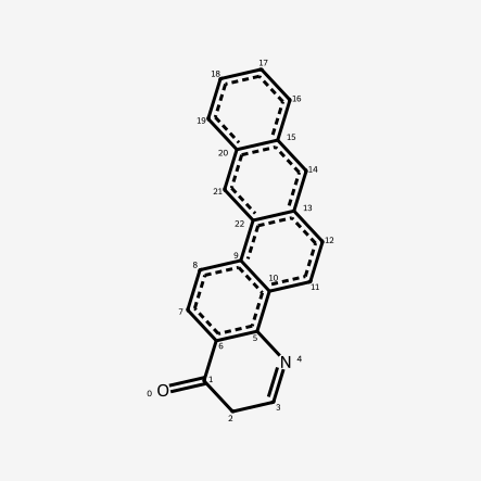 O=C1CC=Nc2c1ccc1c2ccc2cc3ccccc3cc21